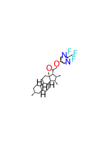 C[C@H]1CC[C@H]2[C@H](CC[C@H]3C4[C@H](C)[C@H](C)[C@H](C(=O)COc5cnc(C(F)(F)F)nc5)[C@@]4(C)CC[C@H]23)C1